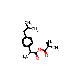 C=C(C)C(=O)OC(=O)C(C)c1ccc(CC(C)C)cc1